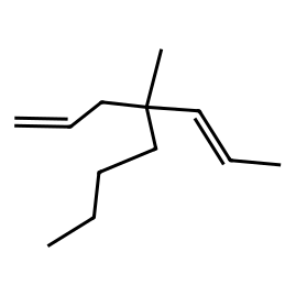 C=CCC(C)(/C=C/C)CCCC